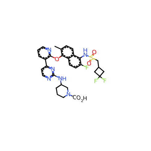 Cc1ccc2c(NS(=O)(=O)CC3CC(F)(F)C3)c(F)ccc2c1Oc1ncccc1-c1ccnc(NC2CCCN(C(=O)O)C2)n1